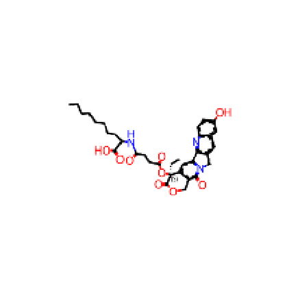 CCCCCCCCC(NC(=O)CCC(=O)O[C@]1(CC)C(=O)OCc2c1cc1n(c2=O)Cc2cc3cc(O)ccc3nc2-1)C(=O)O